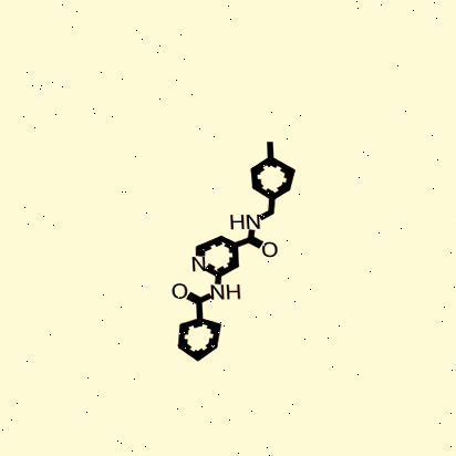 Cc1ccc(CNC(=O)c2ccnc(NC(=O)c3ccccc3)c2)cc1